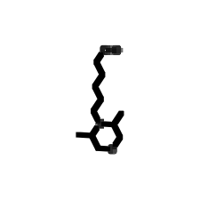 CC1COCC(C)N1CCCCC[C]=O